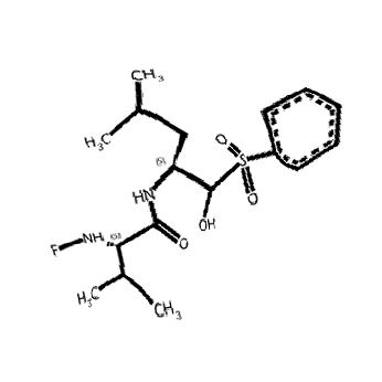 CC(C)C[C@H](NC(=O)[C@@H](NF)C(C)C)C(O)S(=O)(=O)c1ccccc1